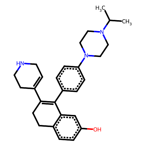 CC(C)N1CCN(c2ccc(C3=C(C4=CCNCC4)CCc4ccc(O)cc43)cc2)CC1